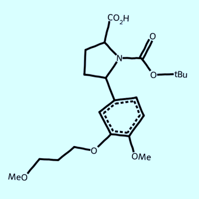 COCCCOc1cc(C2CCC(C(=O)O)N2C(=O)OC(C)(C)C)ccc1OC